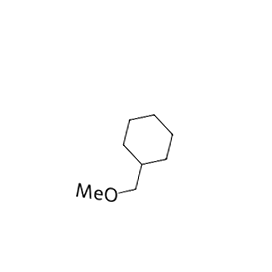 COCC1CCCCC1